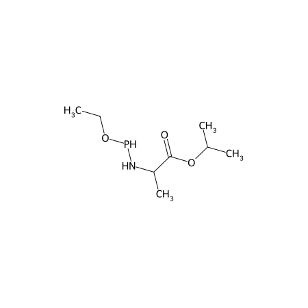 CCOPNC(C)C(=O)OC(C)C